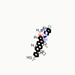 CC(C)C1=C2C3CCC4[C@@]5(C)CC=C(c6ccc(C(=O)O)cc6)C(C)(C)C5CC[C@@]4(C)[C@]3(C)CC[C@@]2(NC(=O)CN(CCN(C)C)Cc2ccc(Cl)cc2)CC1=O